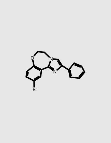 Brc1ccc2c(c1)-c1nc(-c3ccccc3)cn1CCO2